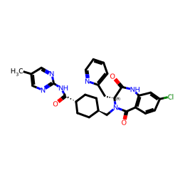 Cc1cnc(NC(=O)[C@H]2CC[C@H](CN3C(=O)c4ccc(Cl)cc4NC(=O)[C@H]3Cc3ccccn3)CC2)nc1